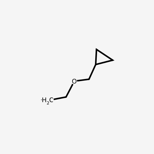 [CH2]COCC1CC1